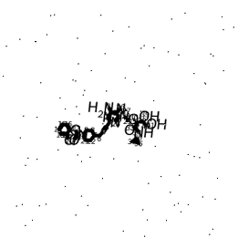 Nc1nc(C#CCC2CCN(C(=O)Oc3ccccc3Cl)CC2)nc2c1ncn2CO[C@H](C(=O)NC1CC1)[C@H](O)CO